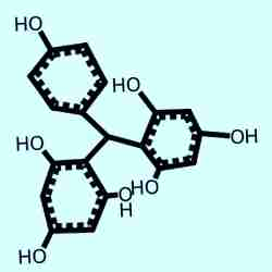 Oc1ccc(C(c2c(O)cc(O)cc2O)c2c(O)cc(O)cc2O)cc1